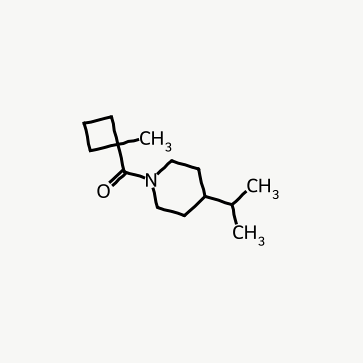 CC(C)C1CCN(C(=O)C2(C)CCC2)CC1